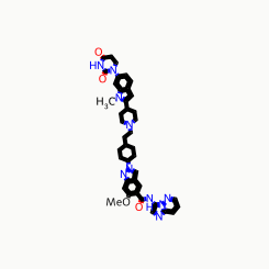 COc1cc2nn(C3CCC(CCN4CCC(c5cc6ccc(N7CCC(=O)NC7=O)cc6n5C)CC4)CC3)cc2cc1C(=O)Nc1cnc2cccnn12